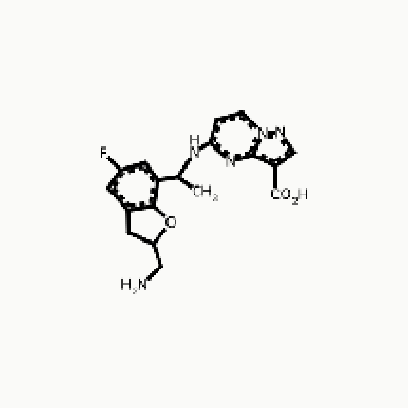 CC(Nc1ccn2ncc(C(=O)O)c2n1)c1cc(F)cc2c1OC(CN)C2